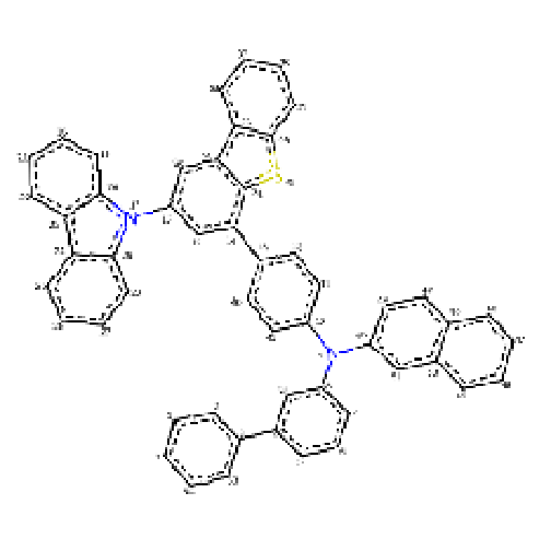 c1ccc(-c2cccc(N(c3ccc(-c4cc(-n5c6ccccc6c6ccccc65)cc5c4sc4ccccc45)cc3)c3ccc4ccccc4c3)c2)cc1